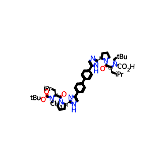 CC(C)C[C@@H](C(=O)N1CCC[C@H]1c1nc(-c2ccc(-c3ccc(-c4cnc([C@@H]5CCCN5C(=O)[C@H](CC(C)C)N(CC(C)(C)C)C(=O)O)[nH]4)cc3)cc2)c[nH]1)N(C)C(=O)OC(C)(C)C